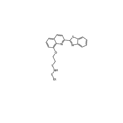 CCSNSCCOc1cccc2ccc(-c3nc4ccccc4s3)nc12